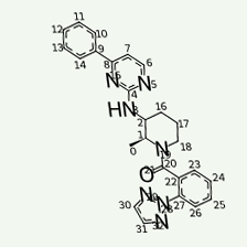 C[C@H]1C(Nc2nccc(-c3ccccc3)n2)CCCN1C(=O)c1ccccc1-n1nccn1